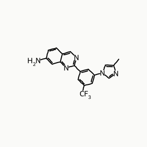 Cc1cn(-c2cc(-c3ncc4ccc(N)cc4n3)cc(C(F)(F)F)c2)cn1